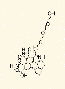 N=C(NCCOCCOCCOCCO)c1c2c(=O)[nH]c(=O)c2c2c(C(N)=O)c(C(=O)O)cc3c4cccc5cccc(c1c32)c54